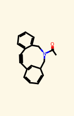 CC(=O)N1Cc2ccccc2C#CC2=CC(C=CC=C2)C1